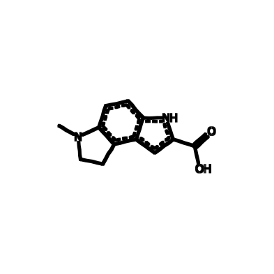 CN1CCc2c1ccc1[nH]c(C(=O)O)cc21